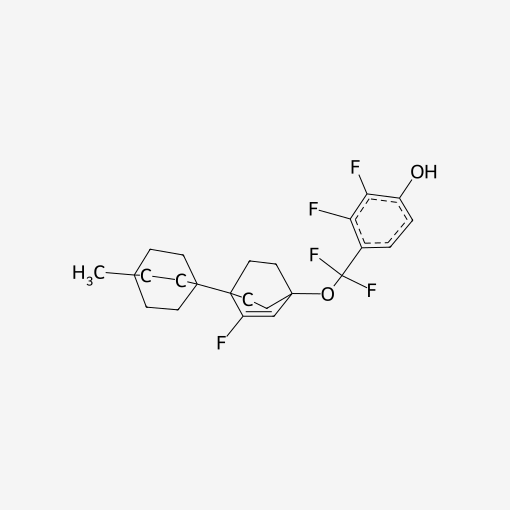 CC12CCC(C34CCC(OC(F)(F)c5ccc(O)c(F)c5F)(C=C3F)CC4)(CC1)CC2